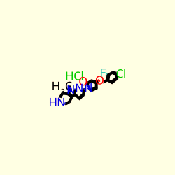 Cl.Cn1c2c(c3ccc(-n4ccc(OCc5ccc(Cl)cc5F)cc4=O)nc31)CCNCC2